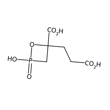 O=C(O)CCC1(C(=O)O)CP(=O)(O)O1